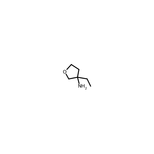 CCC1(N)CCOC1